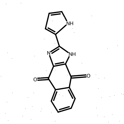 O=C1c2ccccc2C(=O)c2[nH]c(-c3ccc[nH]3)nc21